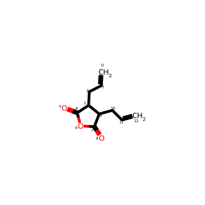 C=CCC1C(=O)OC(=O)C1CC=C